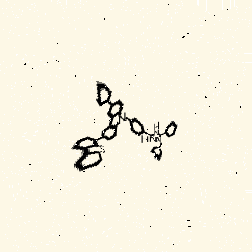 c1ccc(CN2NC(c3ccc(-n4c5ccc(-c6ccccc6)cc5c5cc(-c6cccc7c6sc6ccccc67)ccc54)cc3)NC2c2ccccc2)cc1